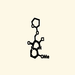 COc1cccn2c(=O)c(COC3CCCCO3)c(Cl)nc12